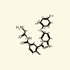 Cc1ccc(C(=O)NC(=O)CN)cc1-c1nnc2ccc(Sc3ccc(F)cc3F)cn12